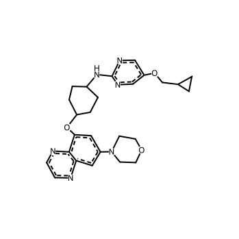 c1cnc2c(OC3CCC(Nc4ncc(OCC5CC5)cn4)CC3)cc(N3CCOCC3)cc2n1